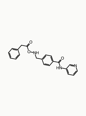 O=C(Cc1ccccc1)ONCc1ccc(C(=O)Nc2cccnc2)cc1